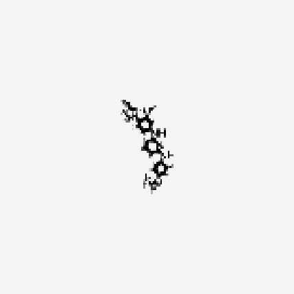 COc1cc(Nc2cccc(Nc3ccc(OC(F)(F)F)cc3)n2)ccc1-n1cnc(C)c1